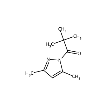 Cc1cc(C)n(C(=O)C(C)(C)C)n1